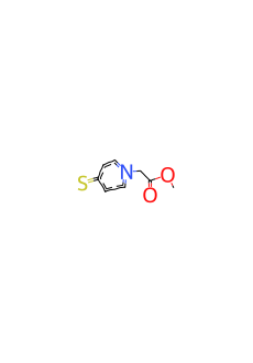 COC(=O)Cn1ccc(=S)cc1